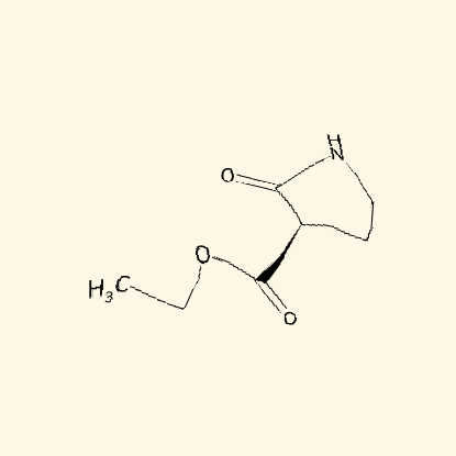 CCOC(=O)[C@@H]1CCNC1=O